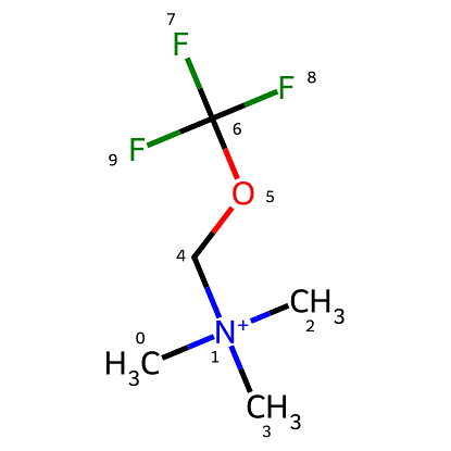 C[N+](C)(C)COC(F)(F)F